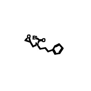 CCC(=O)N(CCCc1ccccc1)CC1CO1